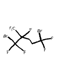 FC(F)(Br)CC(F)(C(F)(F)F)C(F)(F)Br